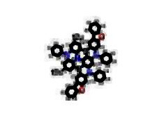 CC(C)(C)c1cc2c3c(c1)N(c1ccccc1)c1cc(C(C)(C)C)cc4c1N3c1c3c(cc5c1B4c1cc4c(cc1N5c1ccccc1)oc1ccccc14)N(c1ccccc1)c1cc4oc5ccccc5c4cc1B23